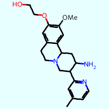 COc1cc2c(cc1OCCO)CCN1CC(c3cc(C)ccn3)C(N)CC21